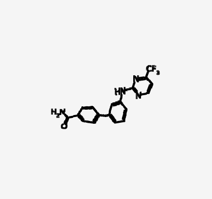 NC(=O)c1ccc(-c2cccc(Nc3nccc(C(F)(F)F)n3)c2)cc1